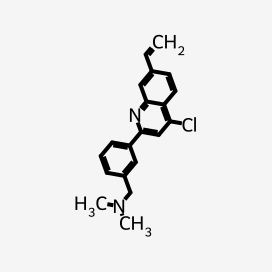 C=Cc1ccc2c(Cl)cc(-c3cccc(CN(C)C)c3)nc2c1